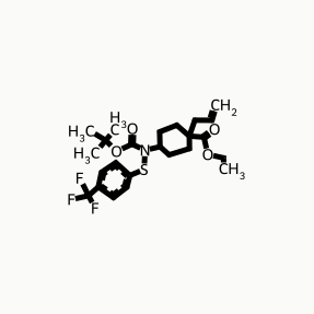 C=CCC1(C(=O)OCC)CCC(N(Sc2ccc(C(F)(F)F)cc2)C(=O)OC(C)(C)C)CC1